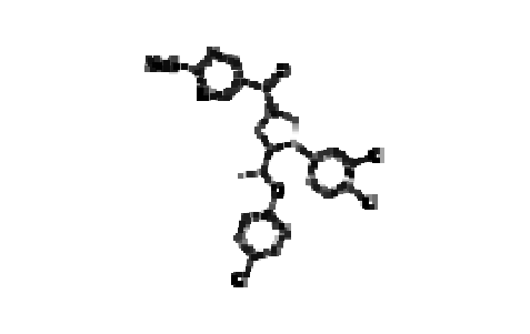 CSc1ncc(C(=O)N2CC(c3ccc(Cl)c(Cl)c3)C(C(C)Oc3ccc(Cl)cn3)C2)cn1